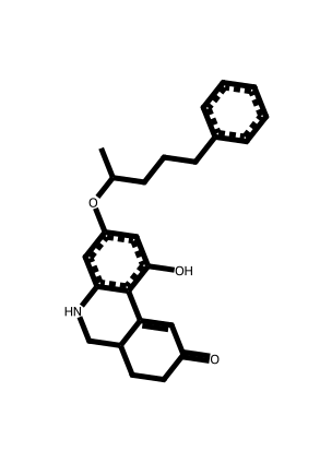 CC(CCCc1ccccc1)Oc1cc(O)c2c(c1)NCC1CCC(=O)C=C21